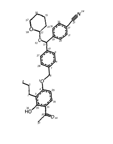 CCCc1c(OCc2ccc(C(OC3CCCCO3)c3ccc(C#N)cc3)cc2)ccc(C(C)=O)c1O